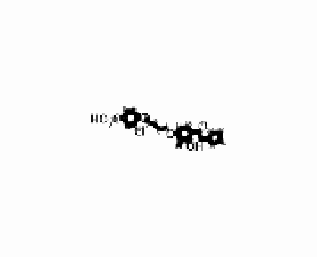 Cc1c(OCCCCOc2ccc(C(=O)O)cc2Cl)ccc(C(=O)CC2CCCC2)c1O